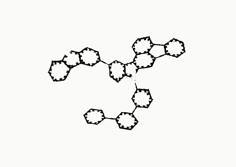 c1ccc(-c2cccc(-c3cccc(-n4c5ccc(-c6ccc7sc8ccccc8c7c6)cc5c5c6cccc7c6c(cc54)-c4ccccc4-7)c3)c2)cc1